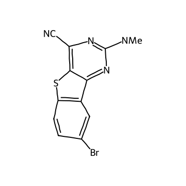 CNc1nc(C#N)c2sc3ccc(Br)cc3c2n1